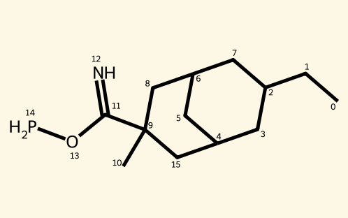 CCC1CC2CC(C1)CC(C)(C(=N)OP)C2